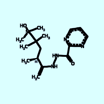 C=C(NNC(=O)c1ncccn1)[C@@H](C)CC(C)(C)[Si](C)(C)O